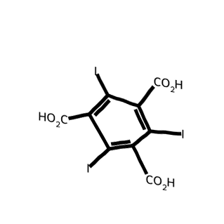 O=C(O)c1c(I)c(C(=O)O)c(I)c(C(=O)O)c1I